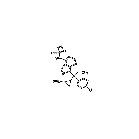 CCC(c1ccc(Cl)cc1)(C1CC1C#N)n1ncc2c(NS(C)(=O)=O)cccc21